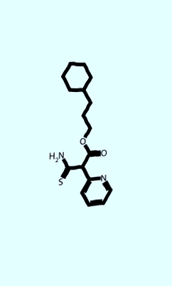 NC(=S)C(C(=O)OCCCC1CCCCC1)c1ccccn1